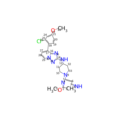 CO/C(C)=N/C(=C\C=N)N1CCC(Nc2nc3c(-c4ccc(OC)cc4Cl)cccn3n2)CC1